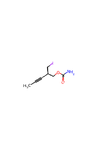 CC#CC(CI)COC(N)=O